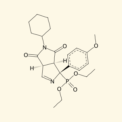 CCOP(=O)(OCC)[C@]1(c2ccc(OC)cc2)N=C[C@H]2C(=O)N(C3CCCCC3)C(=O)[C@H]21